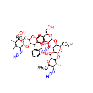 CO[C@H]1OC(CO)[C@@H](O[C@@H]2OC(C(=O)O)[C@H](O[C@@H]3OC(CO)[C@@H](O[C@@H]4OC(C(=O)O)[C@@H](O[C@H]5OC(CO)[C@@H](C)[C@H](C)C5N=[N+]=[N-])[C@H](C)C4OCc4ccccc4)[C@H](O)C3N=[N+]=[N-])[C@@H](OCc3ccccc3)C2O)[C@H](C)C1N=[N+]=[N-]